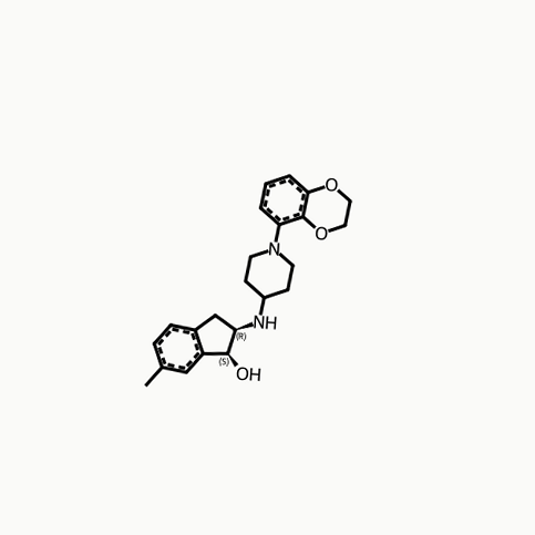 Cc1ccc2c(c1)[C@H](O)[C@H](NC1CCN(c3cccc4c3OCCO4)CC1)C2